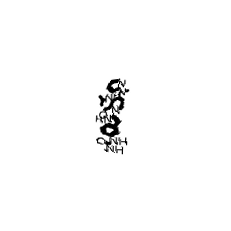 CNC(=O)Nc1ccc2[nH]c(N3CCC(N(C)c4ncccc4NC(C)C)CC3C=O)cc2c1